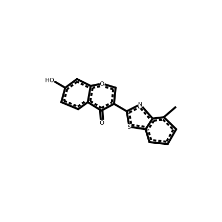 Cc1cccc2sc(-c3coc4cc(O)ccc4c3=O)nc12